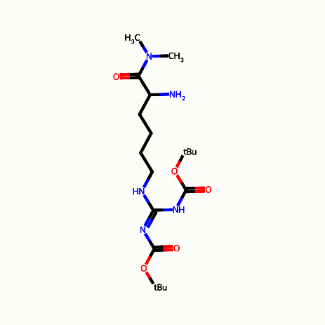 CN(C)C(=O)C(N)CCCCNC(=NC(=O)OC(C)(C)C)NC(=O)OC(C)(C)C